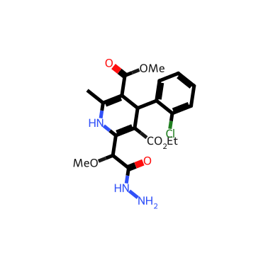 CCOC(=O)C1=C(C(OC)C(=O)NN)NC(C)=C(C(=O)OC)C1c1ccccc1Cl